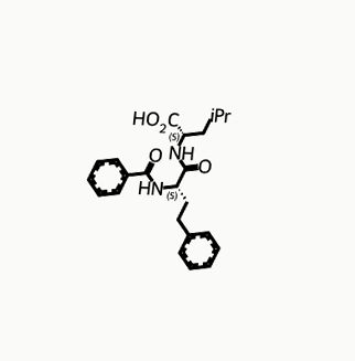 CC(C)C[C@H](NC(=O)[C@H](CCc1ccccc1)NC(=O)c1ccccc1)C(=O)O